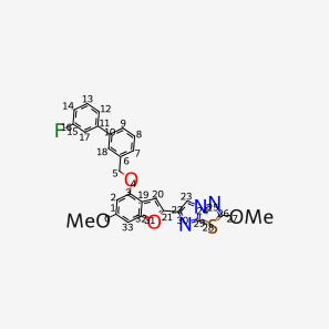 COc1cc(OCc2cccc(-c3cccc(F)c3)c2)c2cc(-c3cn4nc(OC)sc4n3)oc2c1